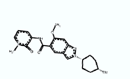 COc1cc2nn([C@H]3CC[C@@H](O)CC3)cc2cc1C(=O)Nc1cccn(C)c1=O